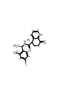 C[C@@H](NC(=O)[C@]1(F)CCC(=O)c2ncccc21)c1ccc(F)cc1Cl